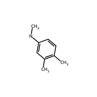 C[N]c1ccc(C)c(C)c1